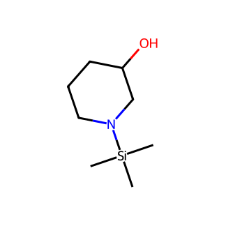 C[Si](C)(C)N1CCCC(O)C1